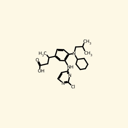 CC(C)CN(c1ccc(C(C)CC(=O)O)cc1Nc1ccnc(Cl)n1)C1CCCCC1